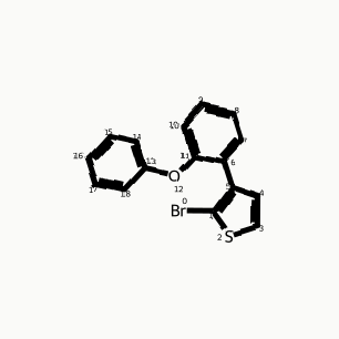 Brc1sccc1-c1ccccc1Oc1ccccc1